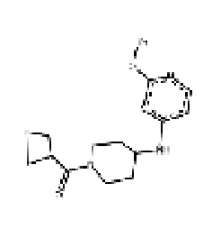 CC(C)Oc1n[c]cc(NC2CCN(C(=O)C3CCC3)CC2)n1